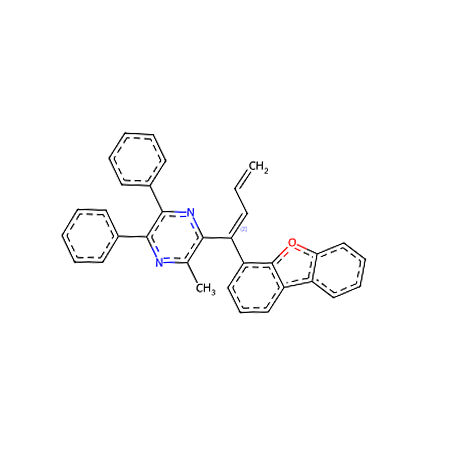 C=C/C=C(\c1nc(-c2ccccc2)c(-c2ccccc2)nc1C)c1cccc2c1oc1ccccc12